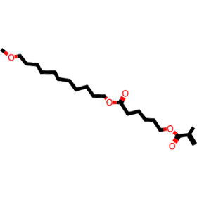 C=C(C)C(=O)OCCCCCC(=O)OCCCCCCCCCCCOC